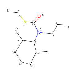 CCCN(C(=O)SCC)C1C(C)CCCC1C